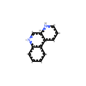 [c]1nc2ccccc2c2cccnc12